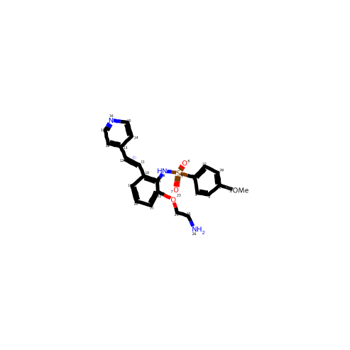 COc1ccc(S(=O)(=O)Nc2c(/C=C/c3ccncc3)cccc2OCCN)cc1